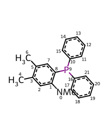 CNc1cc(C)c(C)cc1P(c1ccccc1)c1ccccc1